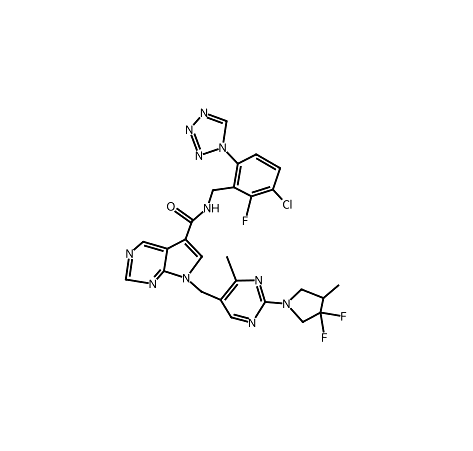 Cc1nc(N2CC(C)C(F)(F)C2)ncc1Cn1cc(C(=O)NCc2c(-n3cnnn3)ccc(Cl)c2F)c2cncnc21